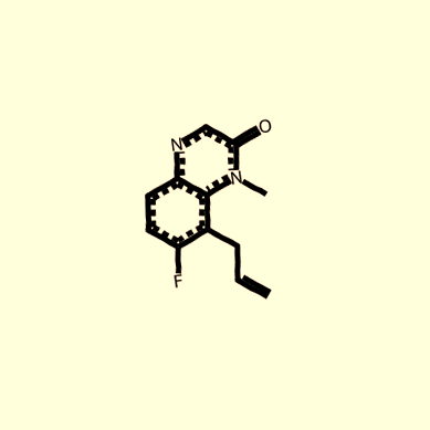 C=CCc1c(F)ccc2ncc(=O)n(C)c12